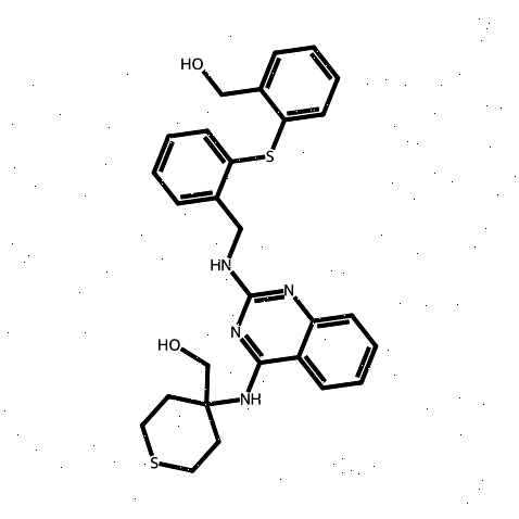 OCc1ccccc1Sc1ccccc1CNc1nc(NC2(CO)CCSCC2)c2ccccc2n1